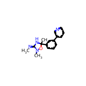 C/N=C1/NC(C)(c2cccc(-c3cccnc3)c2)ON1C